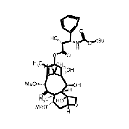 CO[C@H]1C(=O)[C@]2(C)[C@@H](OC)C[C@H]3OC[C@@]3(O)[C@H]2[C@H](O)[C@]2(O)C[C@H](OC(=O)[C@H](O)[C@@H](NC(=O)OC(C)(C)C)c3ccccc3)C(C)=C1C2(C)C